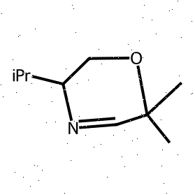 CC(C)C1COC(C)(C)C=N1